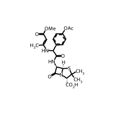 COC(=O)C=C(C)NC(C(=O)N[C@@H]1C(=O)N2[C@@H]1SC(C)(C)[C@@H]2C(=O)O)c1ccc(OC(C)=O)cc1